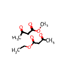 CCOC(=O)CC(C)=O.COC(=O)CC(C)=O